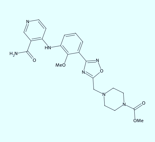 COC(=O)N1CCN(Cc2nc(-c3cccc(Nc4ccncc4C(N)=O)c3OC)no2)CC1